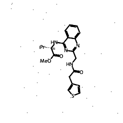 COC(=O)[C@@H](Nc1nc(CNC(=O)Cc2ccsc2)nc2ccccc12)C(C)C